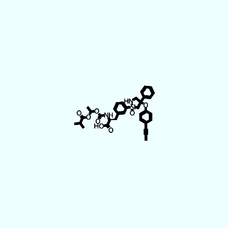 CC#Cc1ccc(OC2(c3ccccc3)CN[SH](=O)(c3cccc(C[C@H](NC(=O)OC(C)OC(=O)C(C)C)C(=O)O)c3)C2)cc1